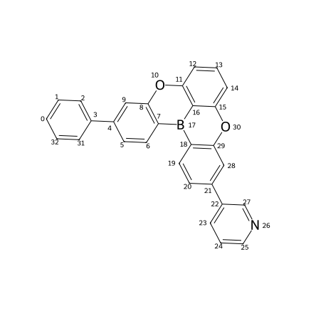 c1ccc(-c2ccc3c(c2)Oc2cccc4c2B3c2ccc(-c3cccnc3)cc2O4)cc1